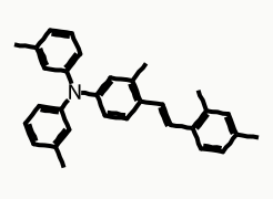 Cc1cccc(N(c2cccc(C)c2)c2ccc(C=Cc3ccc(C)cc3C)c(C)c2)c1